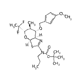 CCCN(C(=O)OC(C)(C)C)C1=N[C@@H]2[C@@H](OCc3ccc(OC)cc3)[C@H](C)[C@@H](C(C)(F)F)O[C@@H]2S1